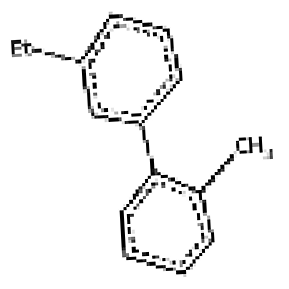 CCc1cccc(-c2ccccc2C)c1